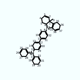 CC12C=CCCC1N(c1ccc(C3=CCC(N(C4=CCCC=C4)C4=CC=CCC4)C=C3)cc1)C1=C2CCC=C1